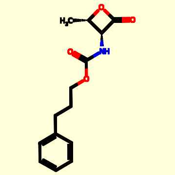 C[C@@H]1OC(=O)[C@@H]1NC(=O)OCCCc1ccccc1